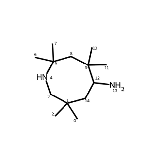 CC1(C)CNC(C)(C)CC(C)(C)C(N)C1